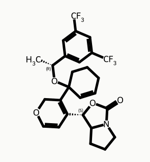 C[C@@H](OC1(C2=C([C@@H]3OC(=O)N4CCCC34)C=COC2)C=CCCC1)c1cc(C(F)(F)F)cc(C(F)(F)F)c1